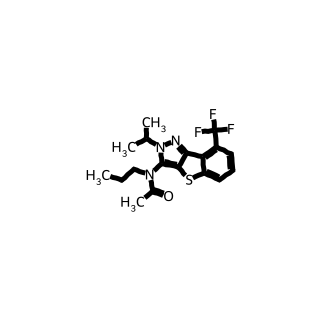 CCCN(C(C)=O)c1c2sc3cccc(C(F)(F)F)c3c2nn1C(C)C